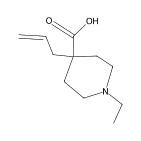 C=CCC1(C(=O)O)CCN(CC)CC1